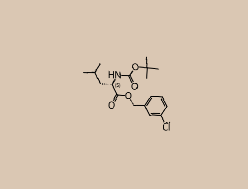 CC(C)C[C@H](NC(=O)OC(C)(C)C)C(=O)OCc1cccc(Cl)c1